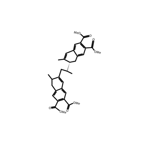 COC(=O)c1cc2c(cc1C(=O)OC)CC(C)C(CC(C)[C@H]1Cc3cc(C(=O)OC)c(C(=O)OC)cc3C=C1C)=C2